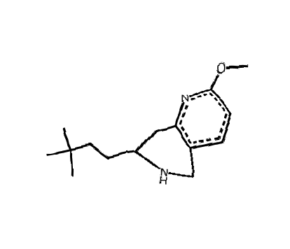 COc1ccc2c(n1)CC(CCC(C)(C)C)NC2